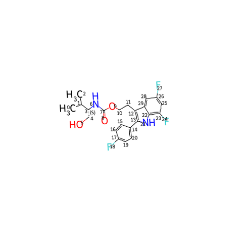 CC(C)[C@@H](CO)NC(=O)OCCc1c(-c2ccc(F)cc2)[nH]c2c(F)cc(F)cc12